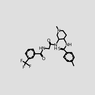 Cc1ccc(C(=S)NC2CCN(C)CC2NC(=O)CNC(=O)c2cccc(C(F)(F)F)c2)cc1